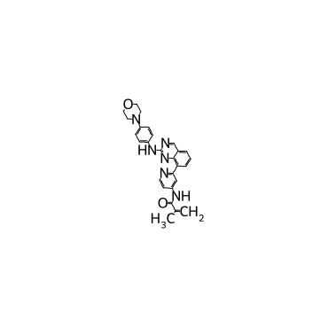 C=C(C)C(=O)Nc1ccnc(-c2cccc3cnc(Nc4ccc(N5CCOCC5)cc4)nc23)c1